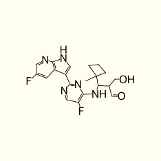 CC1(C(Nc2nc(-c3c[nH]c4ncc(F)cc34)ncc2F)C(C=O)CO)CCC1